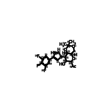 CC(=O)[C@@H]1O[C@@H]2COC(C)(C)O[C@@H]2[C@H](N2C=C(c3cc(F)c(F)c(F)c3)NN2)[C@H]1O